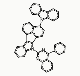 c1ccc(-c2nc(-n3c4c(c5ccccc53)-c3cccc5c(-n6c7ccccc7c7ccccc76)ccc-4c35)nc3ccccc23)cc1